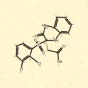 O=C(O)C[C@@]1(S(=O)(=O)c2cccc(Cl)c2Cl)Nc2ccccc2NC1=O